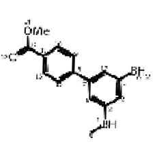 Bc1cc(BC)cc(-c2ccc(C(=O)OC)cc2)c1